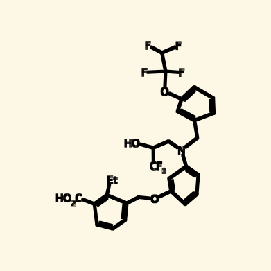 CCc1c(COc2cccc(N(Cc3cccc(OC(F)(F)C(F)F)c3)CC(O)C(F)(F)F)c2)cccc1C(=O)O